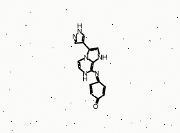 O=C1C=CC(=NC2=C3NC=C(c4cn[nH]c4)N3C=CN2)C=C1